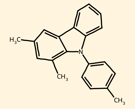 Cc1ccc(-n2c3ccccc3c3cc(C)cc(C)c32)cc1